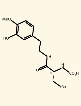 COc1ccc(CCNC(=O)[C@@H](CC(C)(C)C)NC(=O)O)cc1O